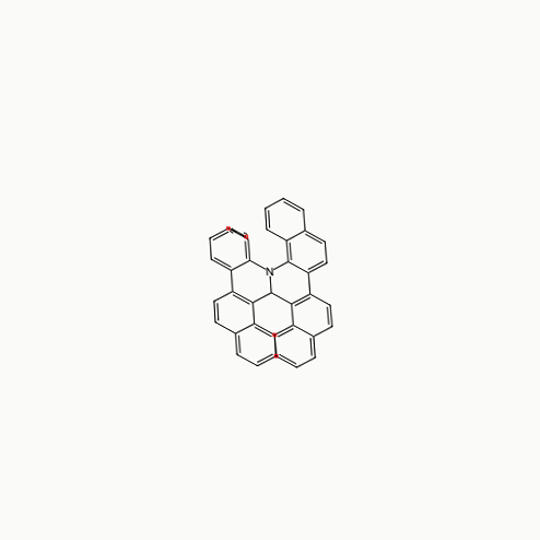 c1ccc2c3c(ccc2c1)-c1ccc2ccccc2c1N1c2c(ccc4ccccc24)-c2ccc4ccccc4c2C31